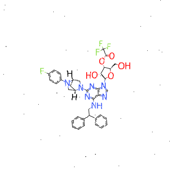 O=C(O[C@H]1[C@@H](O)[C@H](n2cnc3c(NCC(c4ccccc4)c4ccccc4)nc(N4C[C@@H]5C[C@H]4CN5c4ccc(F)cc4)nc32)O[C@@H]1CO)C(F)(F)F